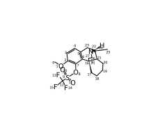 COc1ccc2c(c1OS(=O)(=O)C(F)(F)F)[C@@]13CCCCC1[C@@H](C2)N(C)CC3